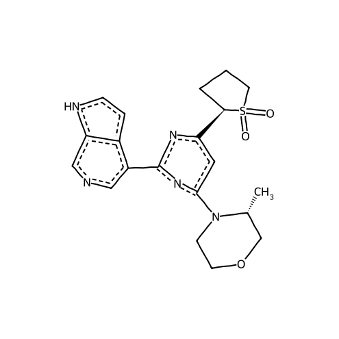 C[C@@H]1COCCN1c1cc([C@H]2CCCS2(=O)=O)nc(-c2cncc3[nH]ccc23)n1